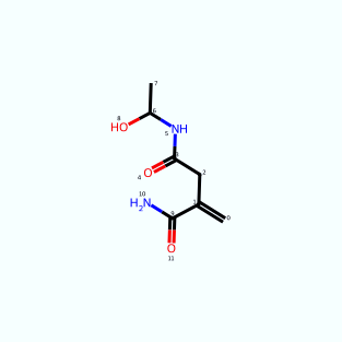 C=C(CC(=O)NC(C)O)C(N)=O